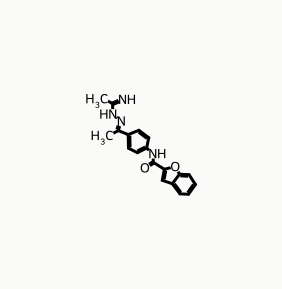 CC(=N)N/N=C(\C)c1ccc(NC(=O)c2cc3ccccc3o2)cc1